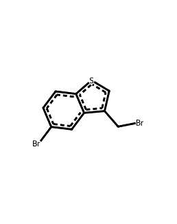 BrCc1csc2ccc(Br)cc12